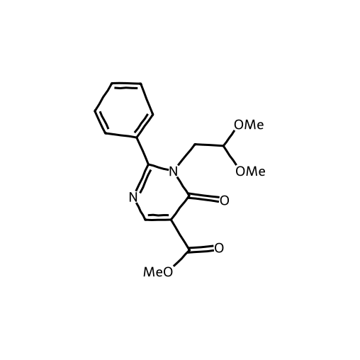 COC(=O)c1cnc(-c2ccccc2)n(CC(OC)OC)c1=O